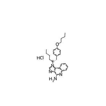 CCCCOc1ccc(C[C@@H](CCCC)n2cnc3c(N)nc4ccccc4c32)cc1.Cl